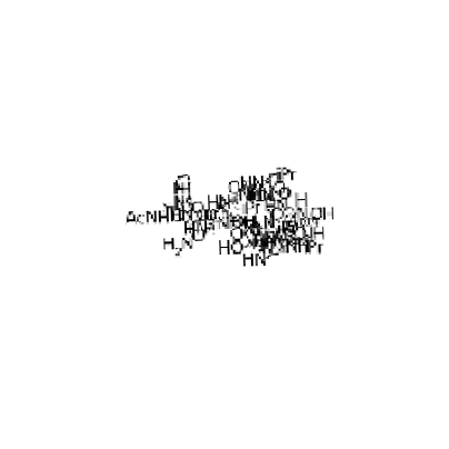 CC(=O)N[C@@H](C)C(=O)N[C@@H](Cc1ccccc1)C(=O)N[C@@H](CC(N)=O)C(=O)N[C@@H](C)C(=O)N[C@@H](CO)C(=O)N[C@@H](CC(C)C)C(=O)N[C@@H](C)C(=O)N[C@@H](CC(C)C)C(=O)N[C@@H](CC(N)=O)C(=O)NCC(=O)N[C@H](C(=O)N[C@H](C(=O)N[C@@H](Cc1c[nH]cn1)C(=O)N[C@@H](CC(C)C)C(=O)N[C@@H](CO)C(N)=O)C(C)C)[C@@H](C)O